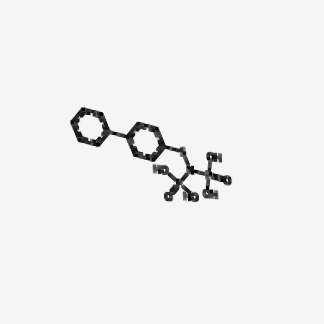 O=P(O)(O)N(Sc1ccc(-c2ccccc2)cc1)P(=O)(O)O